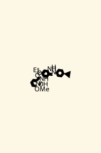 CCOC1=CC(=N)/C(=C\N[C@H]2CC[C@H](C3CC3)CC2)C=C1NC(=O)c1cccc(OC)[n+]1O